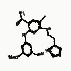 COc1cc(Nc2nc(NCCc3cnc[nH]3)c(F)cc2C(N)=O)cc(OC)c1